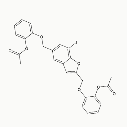 CC(=O)Oc1ccccc1OCc1cc(I)c2oc(COc3ccccc3OC(C)=O)cc2c1